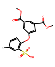 COC(=O)c1cc(Oc2cc[c]([K])cc2S(=O)(=O)O)cc(C(=O)OC)c1